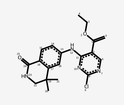 C=C(OCC)c1cnc(Cl)nc1Nc1ccc2c(c1)C(C)(C)CNC2=O